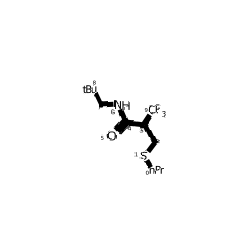 CCCSCC(C(=O)NCC(C)(C)C)C(F)(F)F